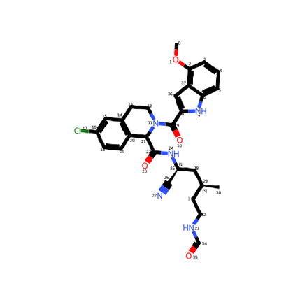 COc1cccc2[nH]c(C(=O)N3CCc4cc(Cl)ccc4C3C(=O)N[C@H](C#N)C[C@@H](C)CCNC=O)cc12